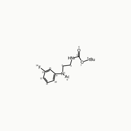 CC(=O)N(CCNC(=O)OC(C)(C)C)c1cccc(F)c1